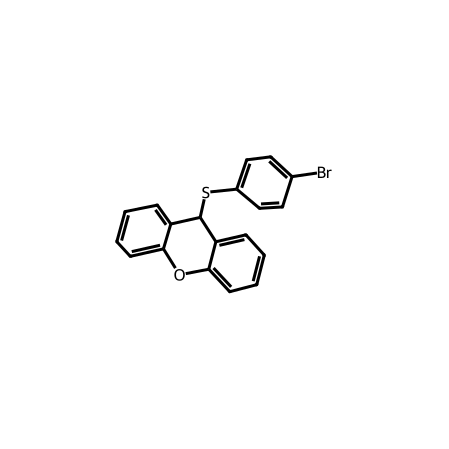 Brc1ccc(SC2c3ccccc3Oc3ccccc32)cc1